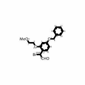 COCCOc1cc(OCc2ccccc2)ccc1C(Br)C=O